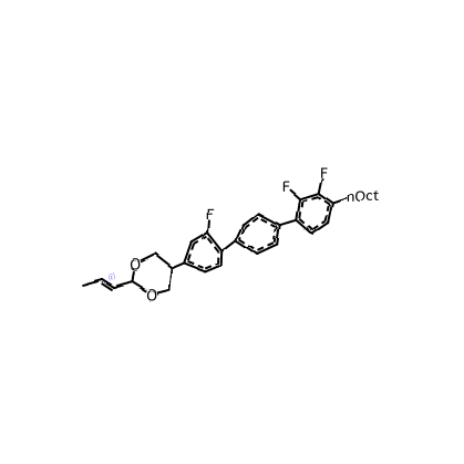 C/C=C/C1OCC(c2ccc(-c3ccc(-c4ccc(CCCCCCCC)c(F)c4F)cc3)c(F)c2)CO1